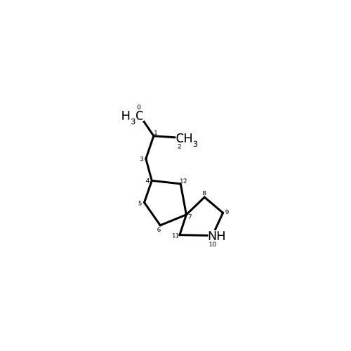 CC(C)CC1CCC2(CCNC2)C1